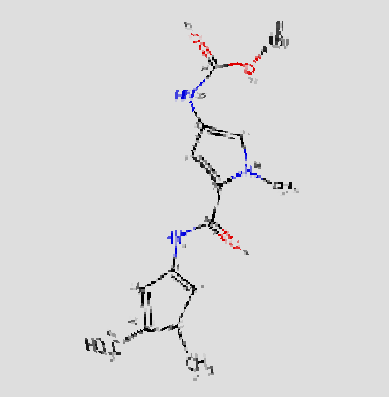 CC1C=C(NC(=O)c2cc(NC(=O)OC(C)(C)C)cn2C)C=C1C(=O)O